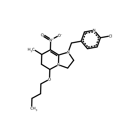 CCCCOC1CC(C)C([N+](=O)[O-])=C2N(Cc3ccc(Cl)nc3)CCN21